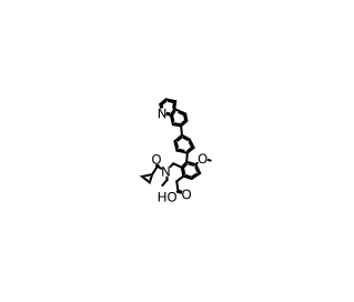 CCN(Cc1c(CC(=O)O)ccc(OC)c1-c1ccc(-c2ccc3cccnc3c2)cc1)C(=O)C1CC1